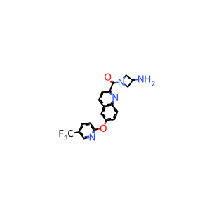 NC1CN(C(=O)c2ccc3cc(Oc4ccc(C(F)(F)F)cn4)ccc3n2)C1